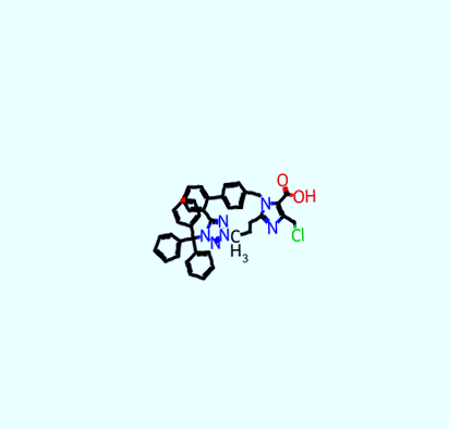 CCCc1nc(CCl)c(C(=O)O)n1Cc1ccc(-c2ccccc2-c2nnnn2C(c2ccccc2)(c2ccccc2)c2ccccc2)cc1